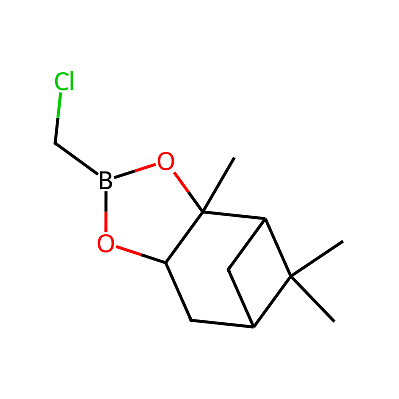 CC1(C)C2CC3OB(CCl)OC3(C)C1C2